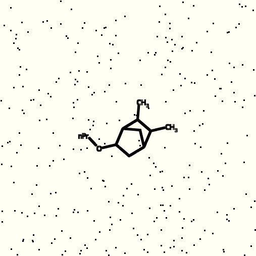 CCCOC1CC2CC1C(C)C2C